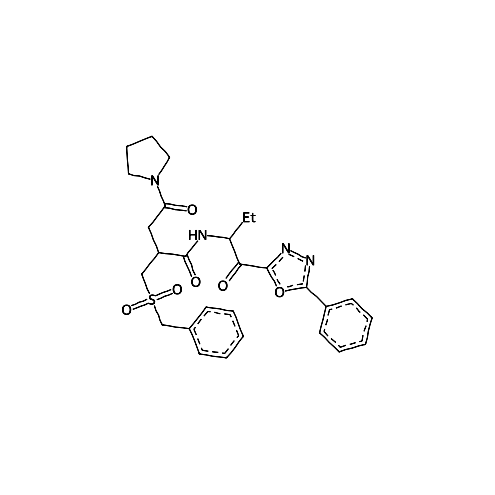 CCC(NC(=O)C(CC(=O)N1CCCC1)CS(=O)(=O)Cc1ccccc1)C(=O)c1nnc(-c2ccccc2)o1